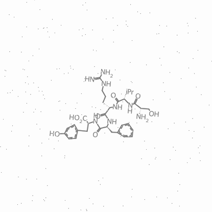 CC(C)[C@H](NC(=O)[C@@H](N)CO)C(=O)N[C@@H](CCCNC(=N)N)C(=O)N[C@@H](Cc1ccccc1)C(=O)N[C@@H](Cc1ccc(O)cc1)C(=O)O